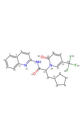 O=C(Nc1ccc2ccccc2n1)C(CC1CCCC1)n1cc(C(F)(F)F)ccc1=O